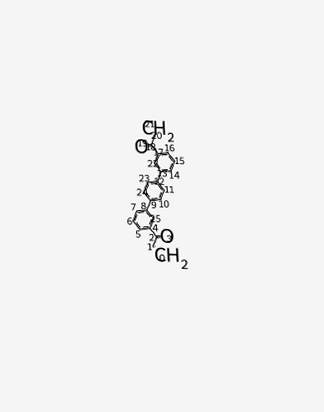 C=CC(=O)c1cccc(-c2ccc(-c3cccc(C(=O)C=C)c3)cc2)c1